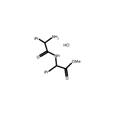 COC(=O)C(NC(=O)C(N)C(C)C)C(C)C.Cl